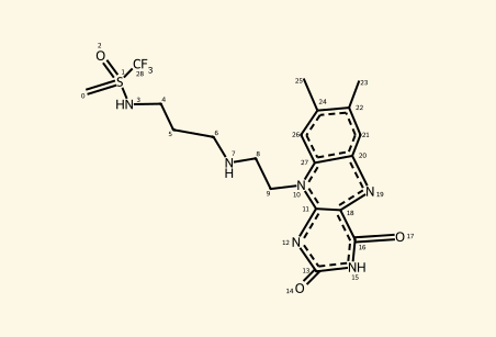 C=S(=O)(NCCCNCCn1c2nc(=O)[nH]c(=O)c-2nc2cc(C)c(C)cc21)C(F)(F)F